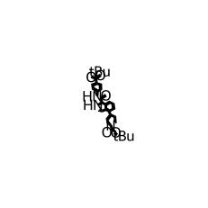 CC(C)(C)OC(=O)c1ccc(NC(=O)C2NCCc3c(C4=CCN(C(=O)OC(C)(C)C)CC4)cccc32)cc1